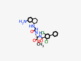 COC(=O)[C@H](CNC(=O)CNC1CCCc2ccc(N)cc21)NC(=O)c1c(Cl)cc(-c2ccccc2)cc1Cl